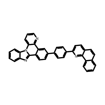 c1ccc2c(c1)ccc1ccc(-c3ccc(-c4ccc5c(c4)c4ncccc4n4c6ccccc6nc54)cc3)nc12